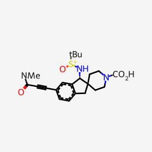 CNC(=O)C#Cc1ccc2c(c1)[C@@H](N[S@+]([O-])C(C)(C)C)C1(CCN(C(=O)O)CC1)C2